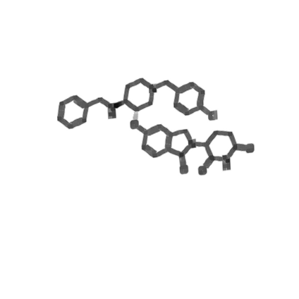 O=C1CCC(N2Cc3cc(O[C@H]4CN(Cc5ccc(Cl)cc5)CC[C@@H]4NCc4ccccc4)ccc3C2=O)C(=O)N1